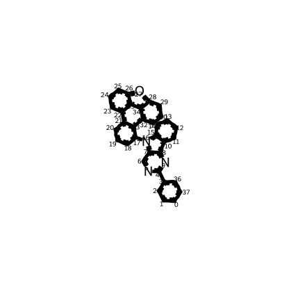 c1ccc(-c2ncc3c(n2)c2ccccc2n3-c2cccc3c4cccc5oc6cccc(c23)c6c54)cc1